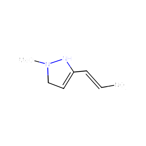 CON1CC=C(C=C[N+](=O)[O-])N1